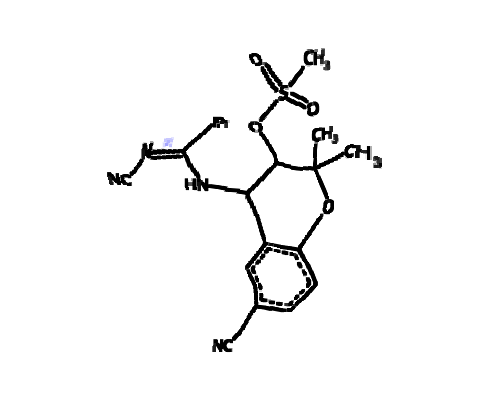 CC(C)/C(=N/C#N)NC1c2cc(C#N)ccc2OC(C)(C)C1OS(C)(=O)=O